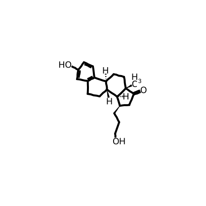 C[C@]12CC[C@@H]3c4ccc(O)cc4CC[C@H]3[C@@H]1[C@H](CCCO)CC2=O